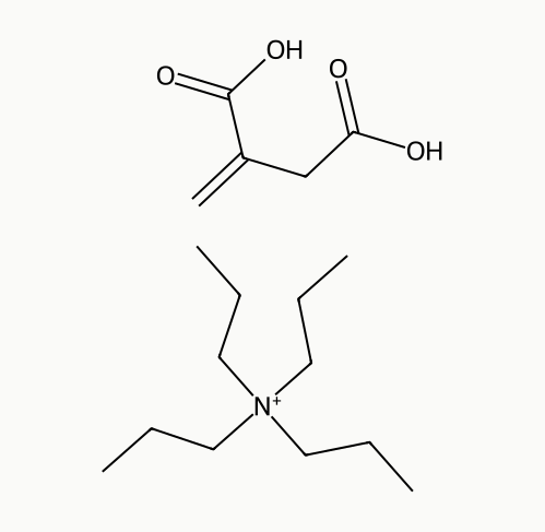 C=C(CC(=O)O)C(=O)O.CCC[N+](CCC)(CCC)CCC